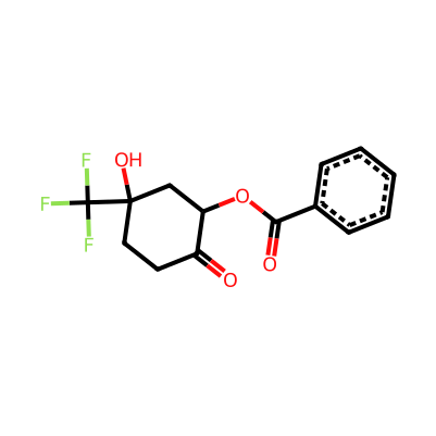 O=C(OC1CC(O)(C(F)(F)F)CCC1=O)c1ccccc1